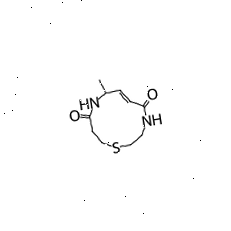 CC1/C=C/C(=O)NCCSCCC(=O)N1